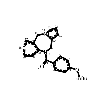 CCCCOc1ccc(C(=O)N2Cc3cccn3Cc3ccccc32)cc1